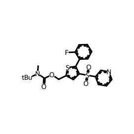 CN(C(=O)OCc1cc(S(=O)(=O)c2cccnc2)c(-c2ccccc2F)s1)C(C)(C)C